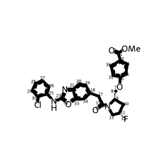 COC(=O)c1ccc(OC[C@@H]2C[C@H](F)CN2C(=O)Cc2ccc3nc(Nc4ccccc4Cl)oc3c2)cc1